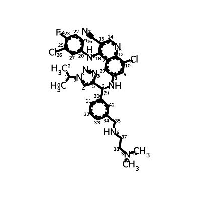 CC(C)n1cc([C@@H](Nc2cc(Cl)c3ncc(C#N)c(Nc4ccc(F)c(Cl)c4)c3c2)c2cccc(CNCCN(C)C)c2)nn1